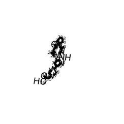 C=C1/N=C(/Nc2ccc(N3CCN(CC(=O)O)CC3)cn2)N(C)C(C)(C)CC(=O)N1C1CCCC1